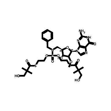 COC1C(O)[C@@H](CN(Cc2ccccc2)P(=O)(OCCSC(=O)C(C)(C)CO)OCCSC(=O)C(C)(C)CO)O[C@H]1n1cnc2c(=O)[nH]c(N)nc21